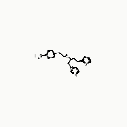 Nc1ccc(CCSC(CCc2cccs2)Cn2ccnc2)cc1